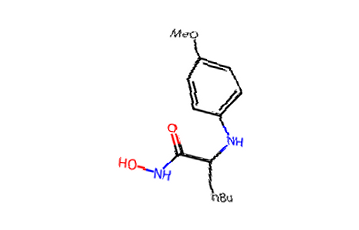 CCCCC(Nc1ccc(OC)cc1)C(=O)NO